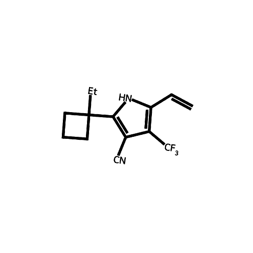 C=Cc1[nH]c(C2(CC)CCC2)c(C#N)c1C(F)(F)F